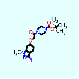 Cn1nc(I)c2ccc(OCC(=O)N3CCN(C(=O)OC(C)(C)C)CC3)cc21